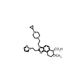 C[C@H]1CCc2c(ccc3c2nc(CCn2cccn2)n3CCN2CCN(C3CC3)CC2)N1C(=O)O